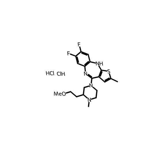 COCCC1CN(C2=Nc3cc(F)c(F)cc3Nc3sc(C)cc32)CCN1C.Cl.Cl